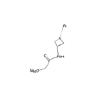 COCC(=O)NC1CN(C(C)C)C1